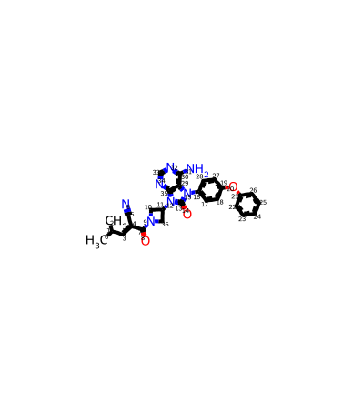 CC(C)C=C(C#N)C(=O)N1CC(n2c(=O)n(-c3ccc(Oc4ccccc4)cc3)c3c(N)ncnc32)C1